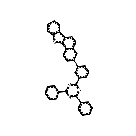 c1ccc(-c2nc(-c3ccccc3)nc(-c3cccc(-c4ccc5c(ccc6c7ccccc7sc56)c4)c3)n2)cc1